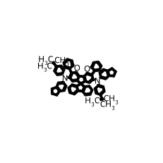 CC(C)(C)c1ccc(N(c2ccc3c(c2)CCC3)c2cc3c(c4oc5ccccc5c24)-c2c(cc(N(c4ccc(C(C)(C)C)cc4)c4ccc5c(c4)CCC5)c4c2oc2ccccc24)C32C3=C(C=CCC3)c3ccccc32)cc1